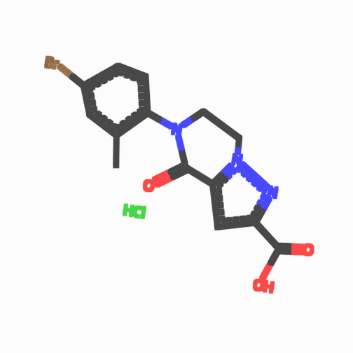 Cc1cc(Br)ccc1N1CCn2nc(C(=O)O)cc2C1=O.Cl